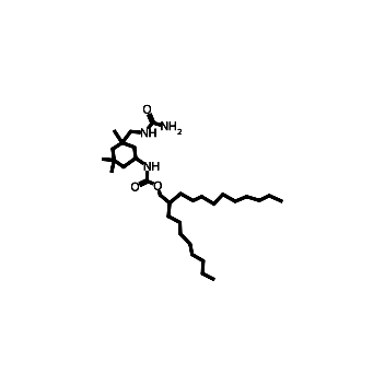 CCCCCCCCCCC(CCCCCCCC)COC(=O)NC1CC(C)(C)CC(C)(CNC(N)=O)C1